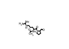 CC(=O)NC(CCCNC(=N)N)C(=O)N1CCCC1C=O